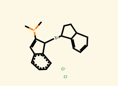 CP(C)C1=Cc2ccccc2[CH]1[Ti+2][CH]1CCC2CC=CC=C21.[Cl-].[Cl-]